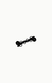 CC(C)c1ccccc1C(=O)OCCOCCOCCOC(=O)c1ccccc1C(C)C